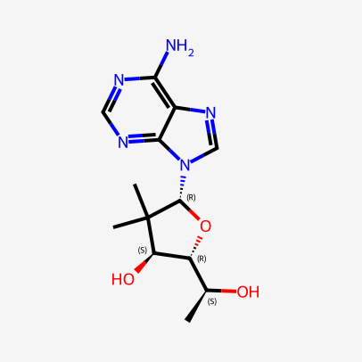 C[C@H](O)[C@H]1O[C@@H](n2cnc3c(N)ncnc32)C(C)(C)[C@@H]1O